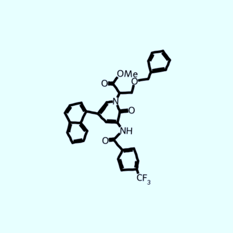 COC(=O)C(COCc1ccccc1)n1cc(-c2cccc3ccccc23)cc(NC(=O)c2ccc(C(F)(F)F)cc2)c1=O